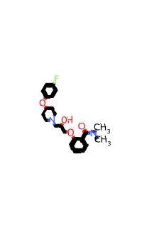 CN(C)C(=O)c1ccccc1OCC(O)CN1CCC(Oc2ccc(F)cc2)CC1